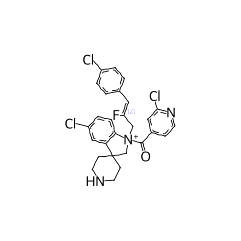 O=C(c1ccnc(Cl)c1)[N+]1(C/C(F)=C/c2ccc(Cl)cc2)CC2(CCNCC2)c2cc(Cl)ccc21